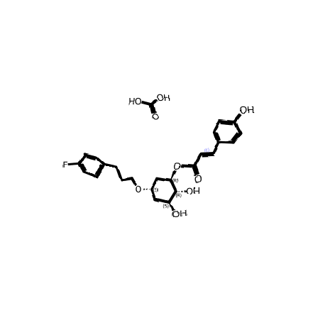 O=C(/C=C/c1ccc(O)cc1)O[C@@H]1C[C@@H](OCCCc2ccc(F)cc2)C[C@H](O)[C@H]1O.O=C(O)O